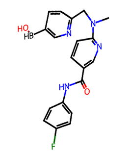 CN(Cc1ccc(BO)cn1)c1ccc(C(=O)Nc2ccc(F)cc2)cn1